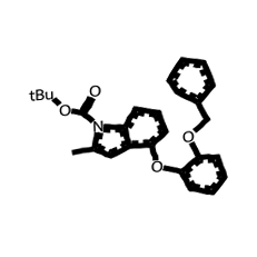 Cc1cc2c(Oc3ccccc3OCc3ccccc3)cccc2n1C(=O)OC(C)(C)C